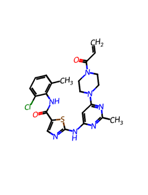 C=CC(=O)N1CCN(c2cc(Nc3ncc(C(=O)Nc4c(C)cccc4Cl)s3)nc(C)n2)CC1